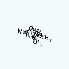 COCCN1CCCC(CC(=O)Nc2cc(-n3nc(C)cc3C)nc(-c3ccc(C)o3)n2)C1